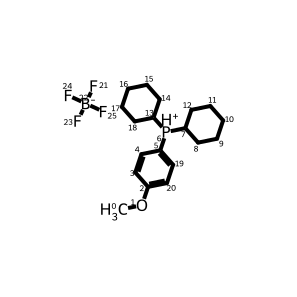 COc1ccc([PH+](C2CCCCC2)C2CCCCC2)cc1.F[B-](F)(F)F